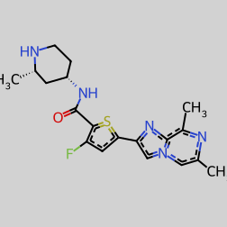 Cc1cn2cc(-c3cc(F)c(C(=O)N[C@H]4CCN[C@@H](C)C4)s3)nc2c(C)n1